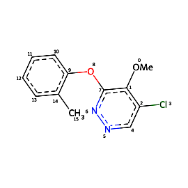 COc1c(Cl)cnnc1Oc1ccccc1C